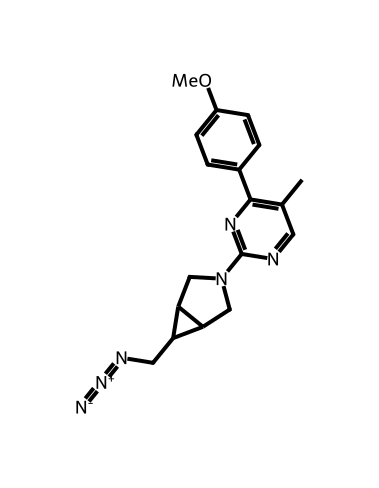 COc1ccc(-c2nc(N3CC4C(CN=[N+]=[N-])C4C3)ncc2C)cc1